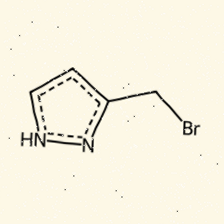 BrCc1cc[nH]n1